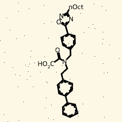 CCCCCCCCc1noc(-c2ccc(CN(CCc3ccc(-c4ccccc4)cc3)C(=O)C(=O)O)cc2)n1